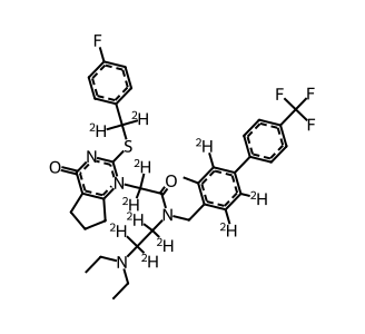 [2H]c1c([2H])c(-c2ccc(C(F)(F)F)cc2)c([2H])c(C)c1CN(C(=O)C([2H])([2H])n1c(SC([2H])([2H])c2ccc(F)cc2)nc(=O)c2c1CCC2)C([2H])([2H])C([2H])([2H])N(CC)CC